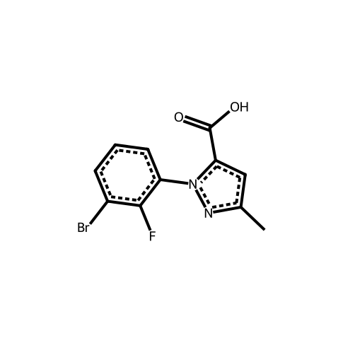 Cc1cc(C(=O)O)n(-c2cccc(Br)c2F)n1